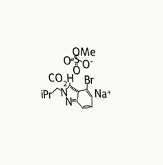 CC(C)Cn1nc2cccc(Br)c2c1C(=O)O.COS(=O)(=O)[O-].[Na+]